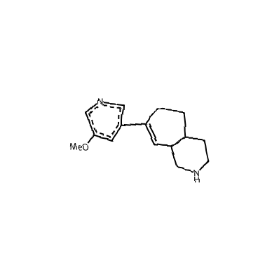 COc1cncc(C2=CC3CNCCC3CC2)c1